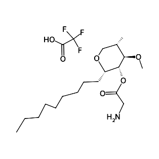 CCCCCCCCC[C@@H]1OC[C@H](C)[C@@H](OC)[C@@H]1OC(=O)CN.O=C(O)C(F)(F)F